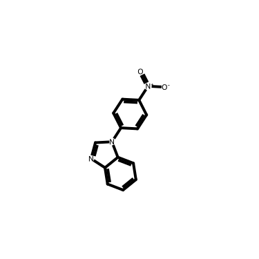 O=[N+]([O-])c1ccc(-n2cnc3ccccc32)cc1